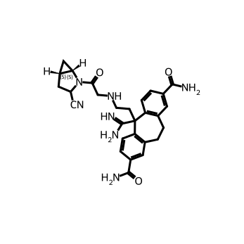 N#CC1C[C@@H]2C[C@@H]2N1C(=O)CNCCC1(C(=N)N)c2ccc(C(N)=O)cc2CCc2cc(C(N)=O)ccc21